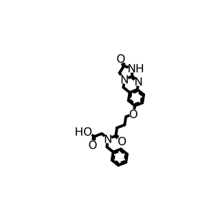 O=C(O)CN(Cc1ccccc1)C(=O)CCCOc1ccc2c(c1)CN1CC(=O)NC1=N2